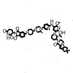 COc1ncc(N2CCC[C@H](N3CCn4c(cc5c4CC(C)(C)C5)C3=O)[C@H]2C(C)O)cc1Nc1ccc(N2CCN(C3CCN(c4ccc5c(c4)C(=O)N(C4CCC(=O)NC4=O)C5=O)CC3)C[C@@H]2C)cn1